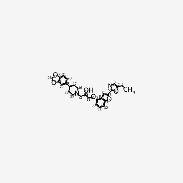 CCc1cnc(-c2cc3c(OC[C@@H](O)CN4CCC(c5ccc6c(c5)OCO6)CC4)cccc3o2)o1